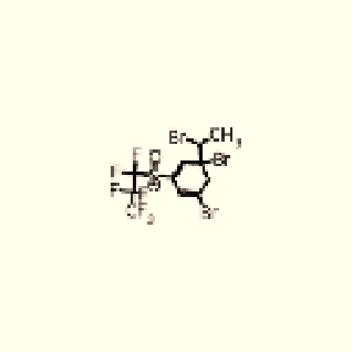 CC(Br)C1(Br)[CH]C(Br)=CC(S(=O)(=O)C(F)(F)C(F)(F)C(F)(F)F)=C1